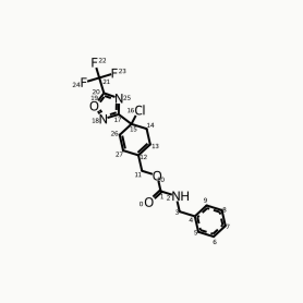 O=C(NCc1ccccc1)OCC1=CCC(Cl)(c2noc(C(F)(F)F)n2)C=C1